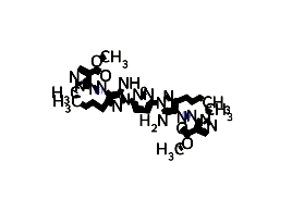 CCCCc1nn(-c2ccc(-n3nc(CCCC)c(/N=N/c4c(C(=O)OC)cnn4C)c3N)nn2)c(N)c1/N=N/c1c(C(=O)OC)cnn1C